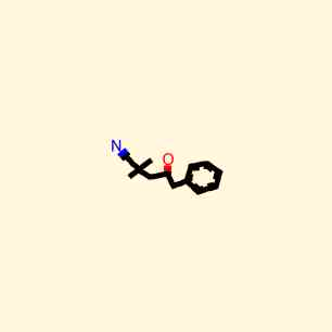 CC(C)(C#N)CC(=O)Cc1ccccc1